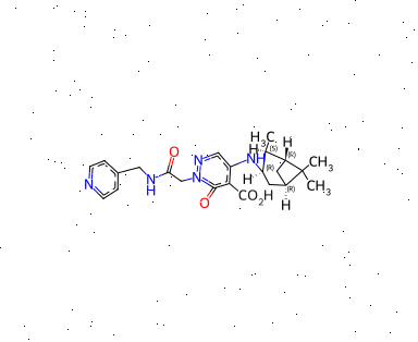 C[C@H]1[C@H]2C[C@H](C[C@H]1Nc1cnn(CC(=O)NCc3ccncc3)c(=O)c1C(=O)O)C2(C)C